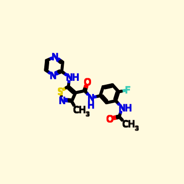 CC(=O)Nc1cc(NC(=O)c2c(C)nsc2Nc2cnccn2)ccc1F